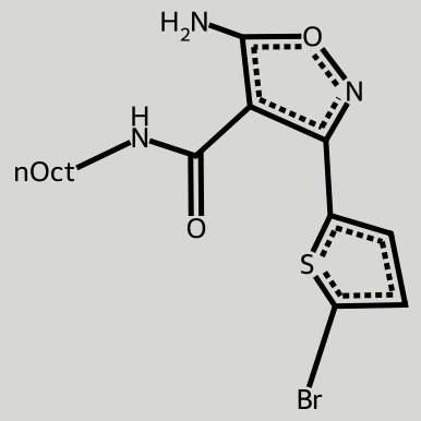 CCCCCCCCNC(=O)c1c(-c2ccc(Br)s2)noc1N